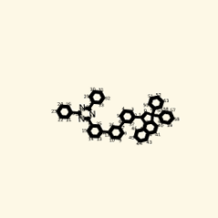 C1=C(c2cccc(-c3cccc(-c4cccc(-c5nc(-c6ccccc6)nc(-c6ccccc6)n5)c4)c3)c2)c2c(ccc3ccccc23)C1(c1ccccc1)c1ccccc1